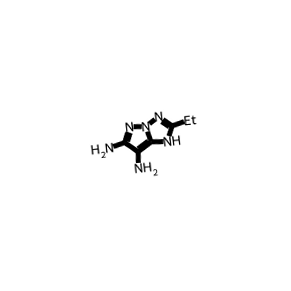 CCc1nn2nc(N)c(N)c2[nH]1